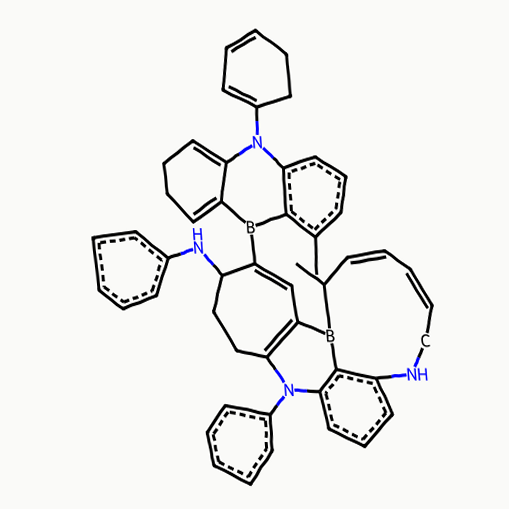 Cc1cccc2c1B(C1=CC3=C(CCC1Nc1ccccc1)N(c1ccccc1)c1cccc4c1B3C(C)/C=C\C=C/CN4)C1=CCCC=C1N2C1=CC=CCC1